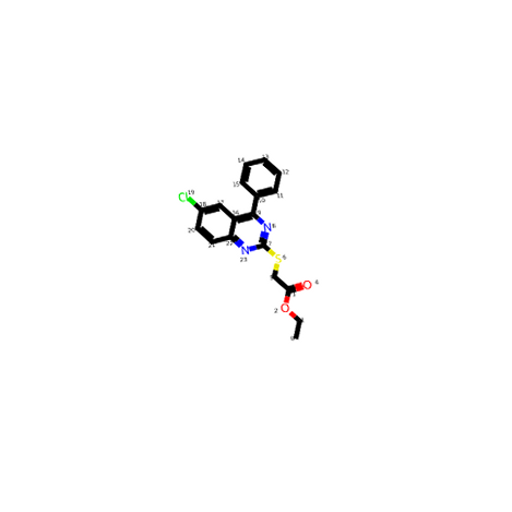 CCOC(=O)CSc1nc(-c2ccccc2)c2cc(Cl)ccc2n1